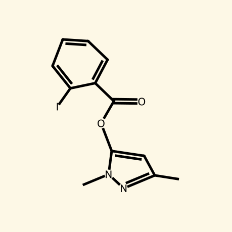 Cc1cc(OC(=O)c2ccccc2I)n(C)n1